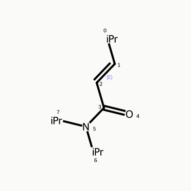 CC(C)/C=C/C(=O)N(C(C)C)C(C)C